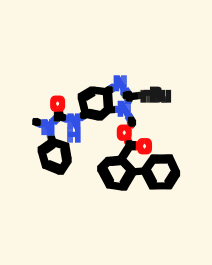 CCCCc1nc2ccc(NC(=O)N(C)c3ccccc3)cc2n1COC(=O)c1ccccc1-c1ccccc1